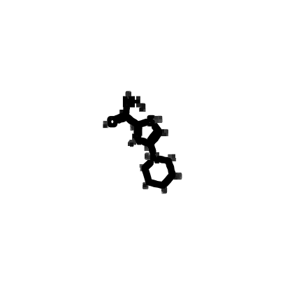 NC(=O)c1nc(N2CCCCC2)cs1